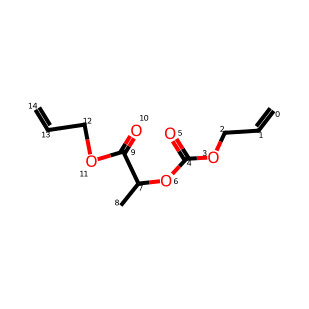 C=CCOC(=O)OC(C)C(=O)OCC=C